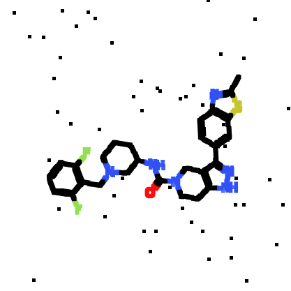 Cc1nc2ccc(-c3n[nH]c4c3CN(C(=O)N[C@@H]3CCCN(Cc5c(F)cccc5F)C3)CC4)cc2s1